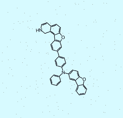 C1=Cc2ccc3oc4cc(-c5ccc(N(c6ccccc6)c6ccc7oc8ccccc8c7c6)cc5)ccc4c3c2CN1